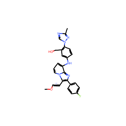 CO/C=C/c1c(-c2ccc(F)cc2)nc2c(Nc3ccc(-n4cnc(C)n4)c(CO)c3)cccn12